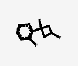 [CH2]C1(c2ncccc2F)CC(F)C1